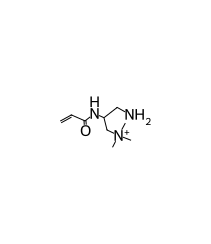 C=CC(=O)NC(CN)C[N+](C)(C)C